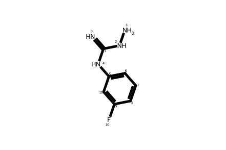 N=C(NN)Nc1cccc(F)c1